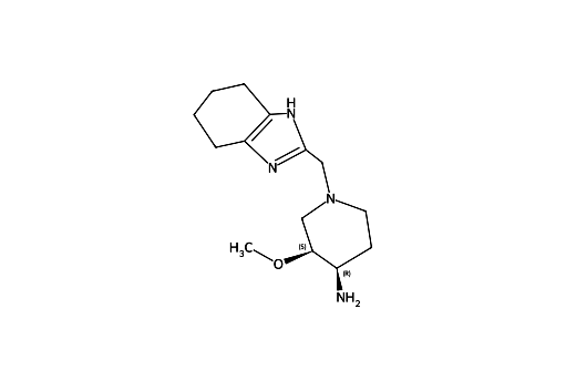 CO[C@H]1CN(Cc2nc3c([nH]2)CCCC3)CC[C@H]1N